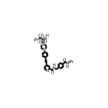 CC(C)NC(=O)c1ccc(CNC(=O)c2cc(C#Cc3ccc(N4CCN(S(=O)(=O)N[C@@H](C(=O)O)C(C)C)CC4)cc3)ccn2)cc1